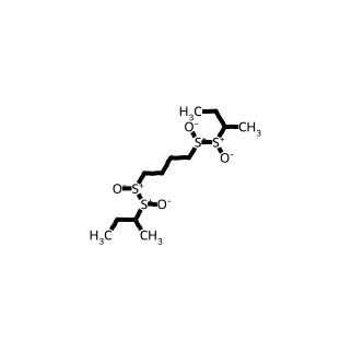 CCC(C)[S+]([O-])[S+]([O-])CCCC[S+]([O-])[S+]([O-])C(C)CC